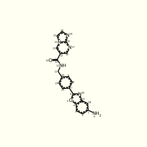 Nc1ccc2oc(-c3ccc(CNC(=O)c4cnc5nccn5c4)cc3)nc2c1